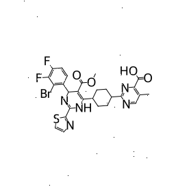 COC(=O)C1=C(C2CCC(c3ncc(C)c(C(=O)O)n3)CC2)NC(c2nccs2)=NC1c1ccc(F)c(F)c1Br